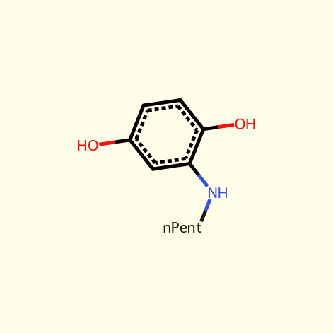 CCCCCNc1cc(O)ccc1O